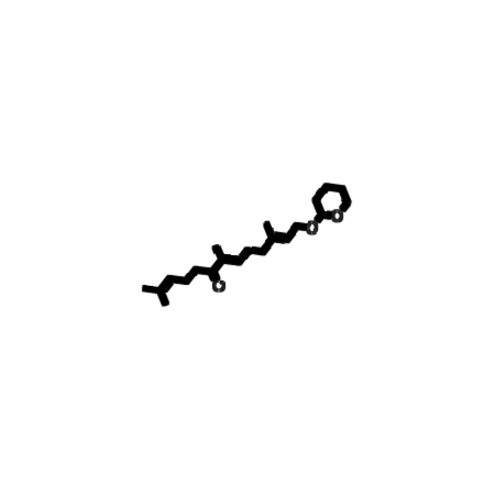 CC(C)=CCCC(=O)/C(C)=C/CC/C(C)=C/COC1CCCCO1